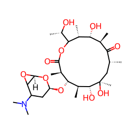 C[C@H]1[C@H](O[C@H]2CC(N(C)C)C3O[C@H]3O2)[C@@H](C)C(=O)OC([C@H](C)O)[C@H](C)[C@H](O)[C@@H](C)C(=O)[C@H](C)C[C@@](C)(O)[C@@H]1O